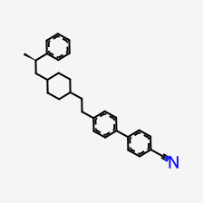 C[C@H](CC1CCC(CCc2ccc(-c3ccc(C#N)cc3)cc2)CC1)c1ccccc1